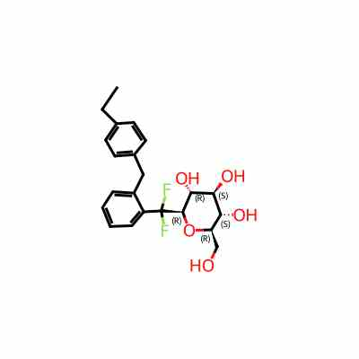 CCc1ccc(Cc2ccccc2C(F)(F)[C@@H]2O[C@H](CO)[C@@H](O)[C@H](O)[C@H]2O)cc1